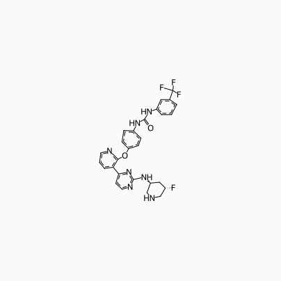 O=C(Nc1ccc(Oc2ncccc2-c2ccnc(N[C@@H]3CNC[C@@H](F)C3)n2)cc1)Nc1cccc(C(F)(F)F)c1